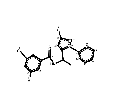 CC(NC(=O)c1cc(Cl)cc(Cl)c1)c1nc(Cl)nn1-c1ncccn1